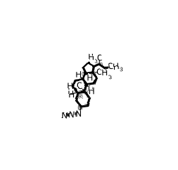 CC[C@@H](C)C1CC[C@H]2[C@@H]3CC[C@@H]4C[C@H](N=[N+]=[N-])CC[C@]4(C)[C@H]3CC[C@]12C